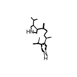 CC(C)c1c[nH]cc1C(C)CCC(C)C1CNCC1C(C)C